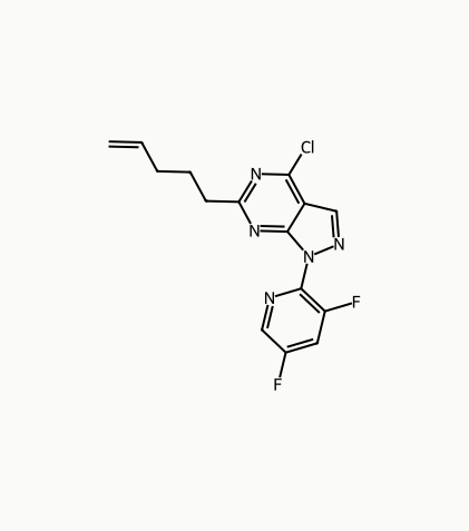 C=CCCCc1nc(Cl)c2cnn(-c3ncc(F)cc3F)c2n1